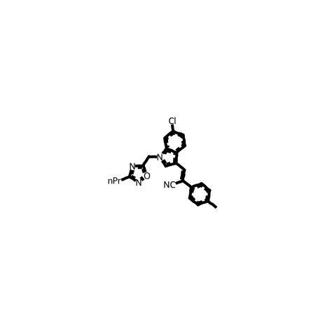 CCCc1noc(Cn2cc(/C=C(\C#N)c3ccc(C)cc3)c3ccc(Cl)cc32)n1